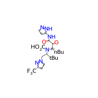 CCCC[C@@H](C(=O)C(=O)Nc1ccn[nH]1)N(C(=O)O)C(Cn1ccc(C(F)(F)F)n1)C(C)(C)C